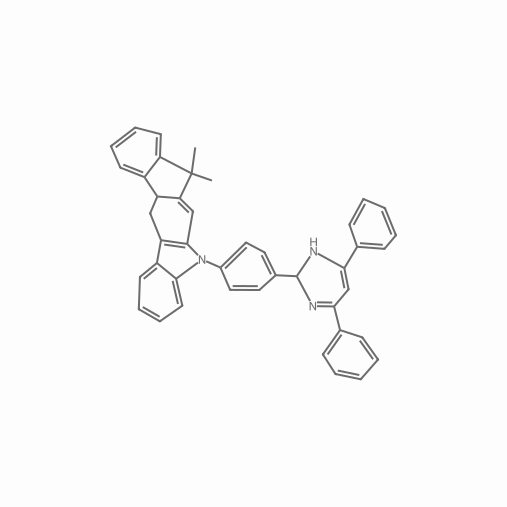 CC1(C)C2=Cc3c(c4ccccc4n3-c3ccc(C4N=C(c5ccccc5)C=C(c5ccccc5)N4)cc3)CC2c2ccccc21